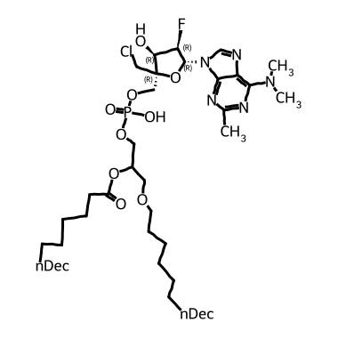 CCCCCCCCCCCCCCCCOCC(COP(=O)(O)OC[C@@]1(CCl)O[C@@H](n2cnc3c(N(C)C)nc(C)nc32)[C@H](F)[C@@H]1O)OC(=O)CCCCCCCCCCCCCCC